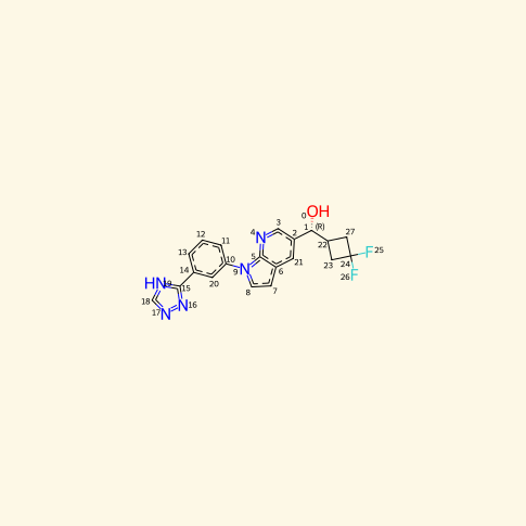 O[C@@H](c1cnc2c(ccn2-c2cccc(-c3nnc[nH]3)c2)c1)C1CC(F)(F)C1